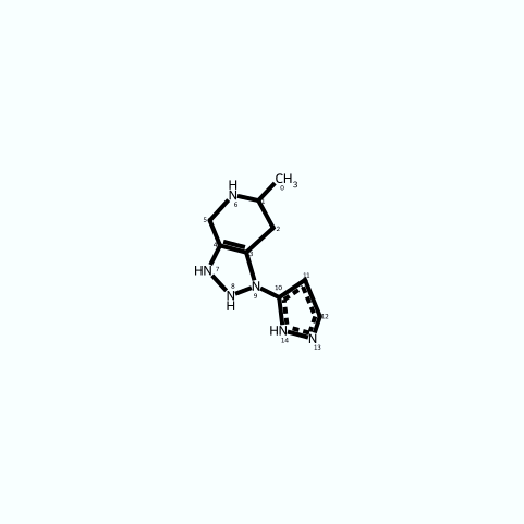 CC1CC2=C(CN1)NNN2c1ccn[nH]1